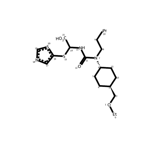 CCOC[C@H]1CC[C@H](N(CCC(C)C)C(=O)NC(Sc2cncs2)C(=O)O)CC1